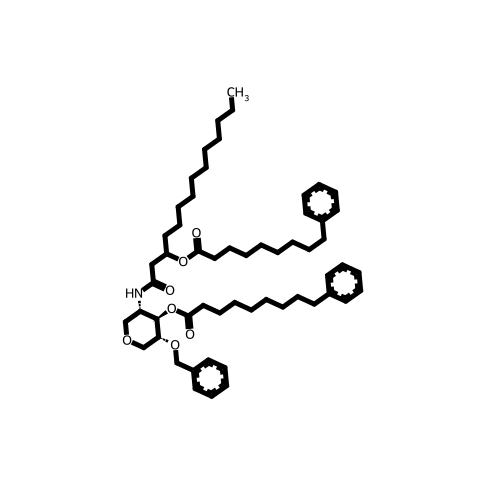 CCCCCCCCCCCC(CC(=O)N[C@H]1COC[C@@H](OCc2ccccc2)[C@@H]1OC(=O)CCCCCCCCc1ccccc1)OC(=O)CCCCCCCCc1ccccc1